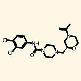 C=C(C)N1CCO[C@@H](CN2CCN(C(=O)Nc3ccc(Cl)c(Cl)c3)CC2)C1